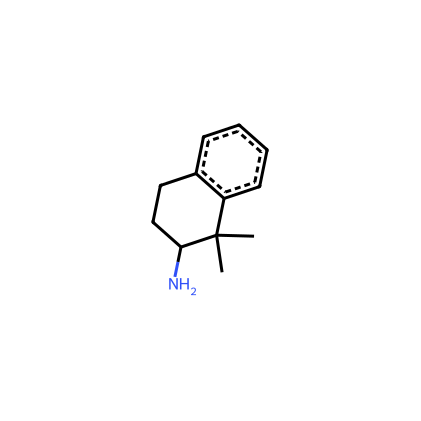 CC1(C)c2ccccc2CCC1N